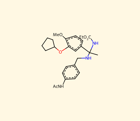 CCOC(=O)NC(C)(NCc1ccc(NC(C)=O)cc1)c1ccc(OC)c(OC2CCCC2)c1